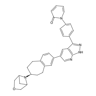 O=c1ccccn1-c1ccc(-c2n[nH]c3ncc(-c4ccc5c(c4)CC[C@@H](N4C6COCC4C6)CC5)cc23)cc1